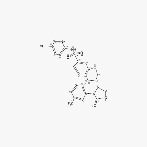 O=C1OCCN1c1cc(C(F)(F)F)ccc1[C@H]1CCOc2cc(S(=O)(=O)Nc3ncc(F)cn3)ccc21